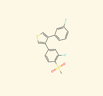 CS(=O)(=O)c1ccc(-c2cscc2-c2cccc(F)c2)cc1F